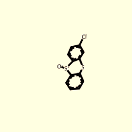 [O-][S+]1c2ccccc2Sc2cc(Cl)ccc21